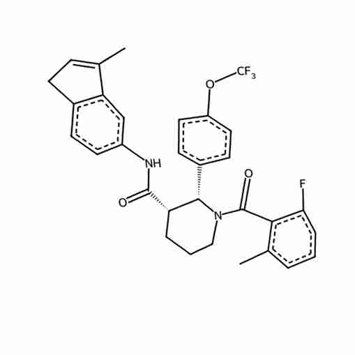 CC1=CCc2ccc(NC(=O)[C@H]3CCCN(C(=O)c4c(C)cccc4F)[C@H]3c3ccc(OC(F)(F)F)cc3)cc21